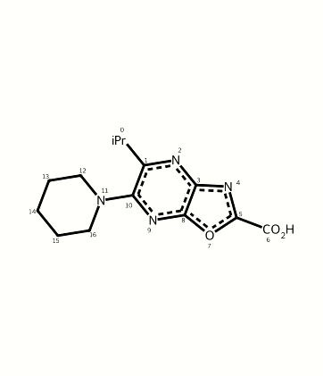 CC(C)c1nc2nc(C(=O)O)oc2nc1N1CCCCC1